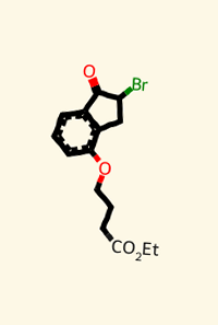 CCOC(=O)CCCOc1cccc2c1CC(Br)C2=O